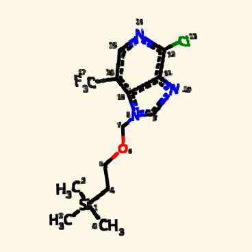 C[Si](C)(C)CCOCn1cnc2c(Cl)ncc(C(F)(F)F)c21